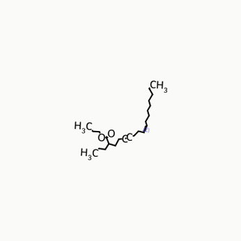 CCCCCCCC/C=C\CCCCCCC(CCC)C(=O)OCCC